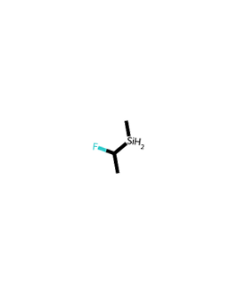 C[SiH2]C(C)F